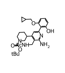 CC(=O)NCc1c(C2CCCN(C(=O)OC(C)(C)C)C2)cc(-c2c(O)cccc2OCC2CC2)nc1N